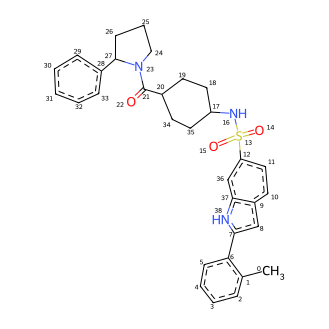 Cc1ccccc1-c1cc2ccc(S(=O)(=O)NC3CCC(C(=O)N4CCCC4c4ccccc4)CC3)cc2[nH]1